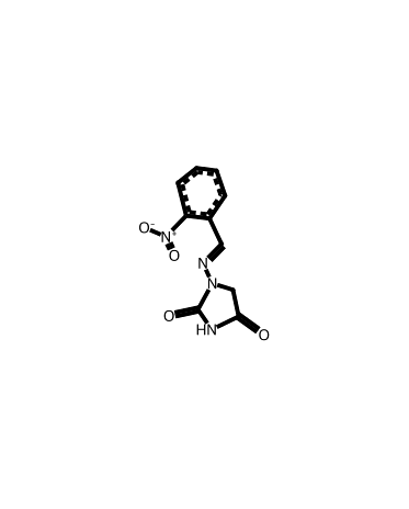 O=C1CN(N=Cc2ccccc2[N+](=O)[O-])C(=O)N1